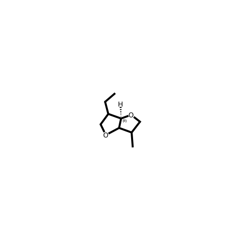 CCC1COC2C(C)CO[C@H]12